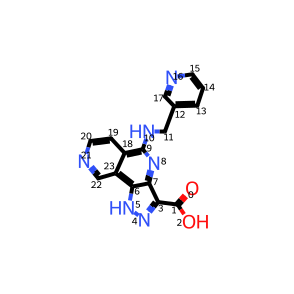 O=C(O)c1n[nH]c2c1nc(NCc1cccnc1)c1ccncc12